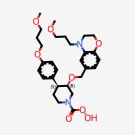 COCCCOc1ccc([C@@H]2CCN(C(=O)OO)C[C@@H]2OCc2ccc3c(c2)N(CCCOC)CCO3)cc1